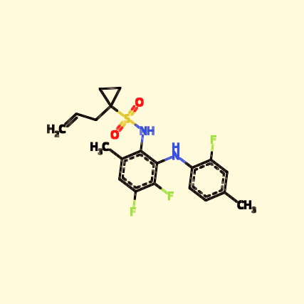 C=CCC1(S(=O)(=O)Nc2c(C)cc(F)c(F)c2Nc2ccc(C)cc2F)CC1